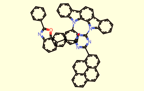 c1ccc(-c2nc(-c3ccc4ccc5cccc6ccc3c4c56)nc(-n3c4ccccc4c4ccc5c6ccccc6n(-c6cccc(-c7cccc8nc(-c9ccccc9)oc78)c6)c5c43)n2)cc1